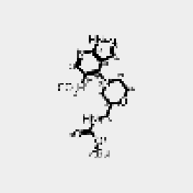 CC(C)(C)OC(=O)NCC1CN(c2c(C(=O)O)cnc3[nH]ncc23)CCO1